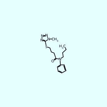 CCCCN(C(=O)CCCSc1nnnn1C)c1ccccc1